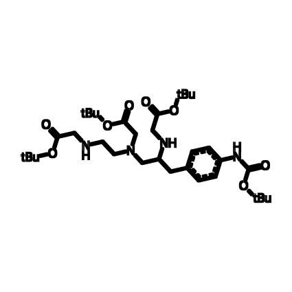 CC(C)(C)OC(=O)CNCCN(CC(=O)OC(C)(C)C)CC(Cc1ccc(NC(=O)OC(C)(C)C)cc1)NCC(=O)OC(C)(C)C